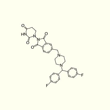 O=C1CCN(N2C(=O)c3ccc(CN4CCN(C(c5ccc(F)cc5)c5ccc(F)cc5)CC4)cc3C2=O)C(=O)N1